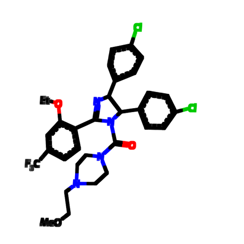 CCOc1cc(C(F)(F)F)ccc1C1=NC(c2ccc(Cl)cc2)C(c2ccc(Cl)cc2)N1C(=O)N1CCN(CCOC)CC1